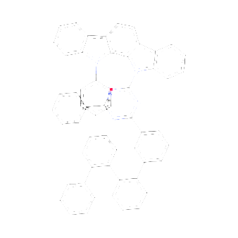 c1ccc(-c2nc(-c3cccc(-c4ccccc4-c4ccccc4-c4ccccc4)c3)nc(-n3c4ccccc4c4ccc5c6ccccc6n(-c6ccccc6)c5c43)n2)cc1